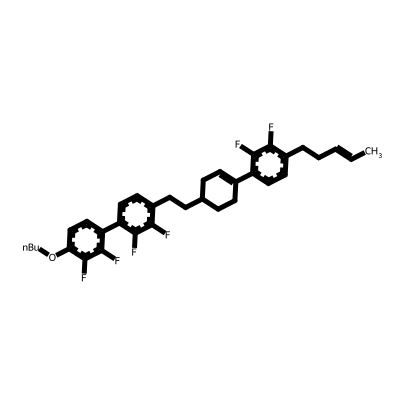 C/C=C/CCc1ccc(C2=CCC(CCc3ccc(-c4ccc(OCCCC)c(F)c4F)c(F)c3F)CC2)c(F)c1F